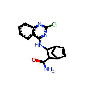 NC(=O)C1C2C=CC(C2)C1Nc1nc(Cl)nc2ccccc12